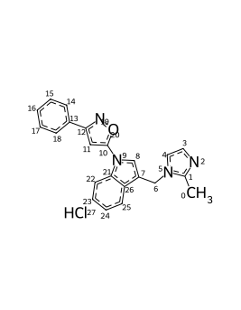 Cc1nccn1Cc1cn(-c2cc(-c3ccccc3)no2)c2ccccc12.Cl